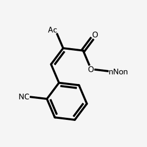 CCCCCCCCCOC(=O)C(=Cc1ccccc1C#N)C(C)=O